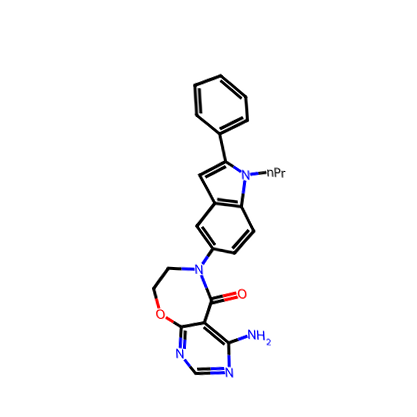 CCCn1c(-c2ccccc2)cc2cc(N3CCOc4ncnc(N)c4C3=O)ccc21